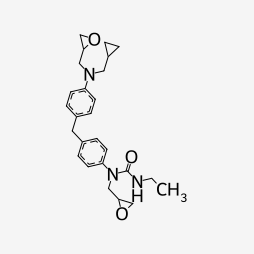 CCNC(=O)N(CC1CO1)c1ccc(Cc2ccc(N(CC3CC3)CC3CO3)cc2)cc1